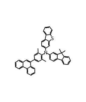 Cc1cc(-c2cc3ccccc3c3ccccc23)cc(C)c1N(c1ccc2c(c1)C(C)(C)c1ccccc1-2)c1ccc2c(c1)sc1ccccc12